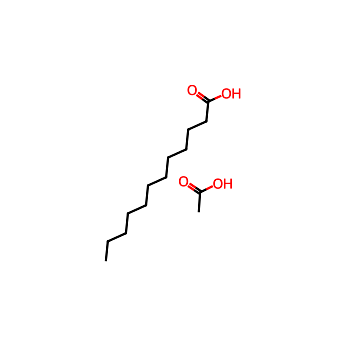 CC(=O)O.CCCCCCCCCCCC(=O)O